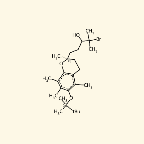 Cc1c(C)c2c(c(C)c1O[Si](C)(C)C(C)(C)C)CC[C@](C)(CCC(O)C(C)(C)Br)O2